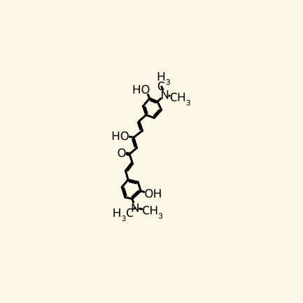 CN(C)c1ccc(/C=C/C(=O)/C=C(O)/C=C/c2ccc(N(C)C)c(O)c2)cc1O